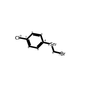 Clc1cc[c]([Sn][CH2]Br)cc1